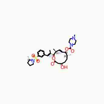 C/C(=C\c1cccc(S(=O)(=O)N2CCC[C@@H]2C)c1)[C@H]1OC(=O)C[C@@H](O)CC[C@@H](C)[C@@H](OC(=O)N2CCN(C)CC2)/C=C/[C@@H]1C